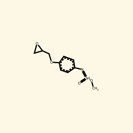 CO[SH](=O)=Nc1ccc(OCC2CO2)cc1